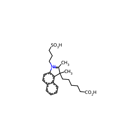 CC1=[N+](CCCS(=O)(=O)O)c2ccc3ccccc3c2C1(C)CCCCCC(=O)O